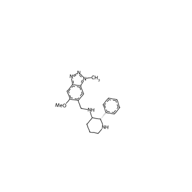 COc1cc2nnn(C)c2cc1CNC1CCCN[C@H]1c1ccccc1